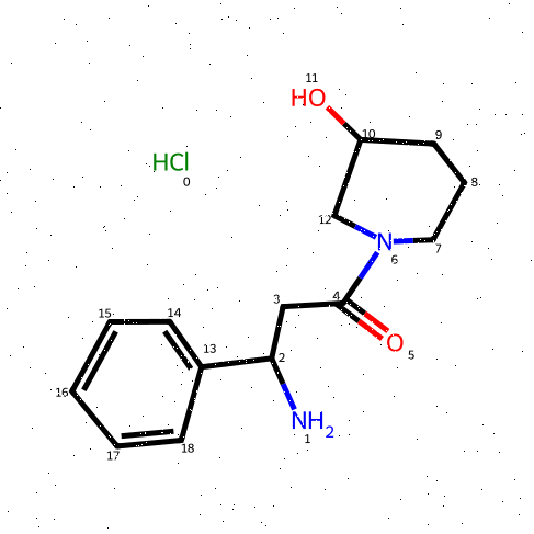 Cl.NC(CC(=O)N1CCCC(O)C1)c1ccccc1